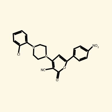 N#Cc1c(N2CCN(c3ccccc3Cl)CC2)cc(-c2ccc([N+](=O)[O-])cc2)oc1=O